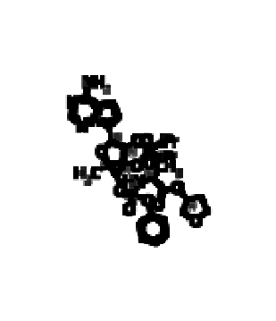 CC(C)C(=O)O[C@H]1[C@H](c2ccc3c(N)ncnn23)O[C@]2(C)C(O[P@](=O)(N[C@@H](C)C(=O)O[C@H]3CCOC3)Oc3ccccc3)[C@]12OC(=O)C(C)C